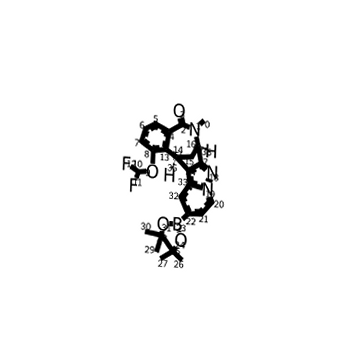 CN1C(=O)c2cccc(OC(F)F)c2[C@H]2C[C@@H]1c1nn3ccc(B4OC(C)(C)C(C)(C)O4)cc3c12